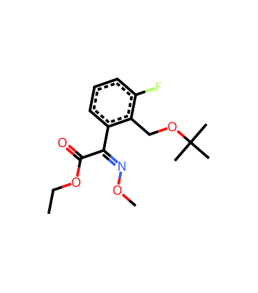 CCOC(=O)C(=NOC)c1cccc(F)c1COC(C)(C)C